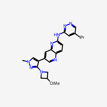 COC1CN(c2nn(C)cc2-c2cnc3ccc(Nc4cc(C(C)C)cnn4)nc3c2)C1